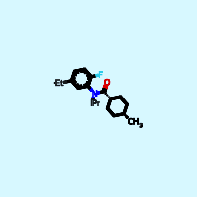 C[CH]c1ccc(F)c(N(C(=O)[C@H]2CC[C@H](C)CC2)C(C)C)c1